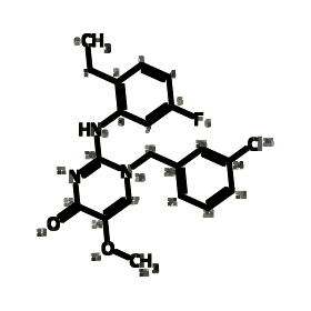 CCc1ccc(F)cc1Nc1nc(=O)c(OC)cn1Cc1cccc(Cl)c1